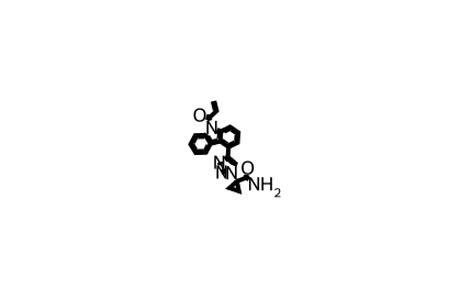 C=CC(=O)n1c2ccccc2c2c(-c3cn(C4(C(N)=O)CC4)nn3)cccc21